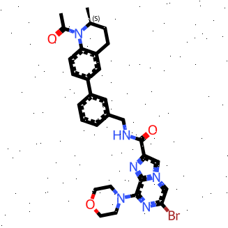 CC(=O)N1c2ccc(-c3cccc(CNC(=O)c4cn5cc(Br)nc(N6CCOCC6)c5n4)c3)cc2CC[C@@H]1C